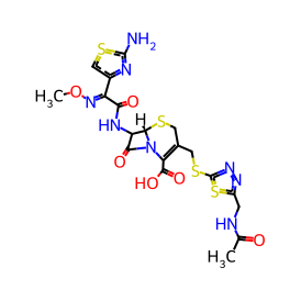 CON=C(C(=O)NC1C(=O)N2C(C(=O)O)=C(CSc3nnc(CNC(C)=O)s3)CS[C@@H]12)c1csc(N)n1